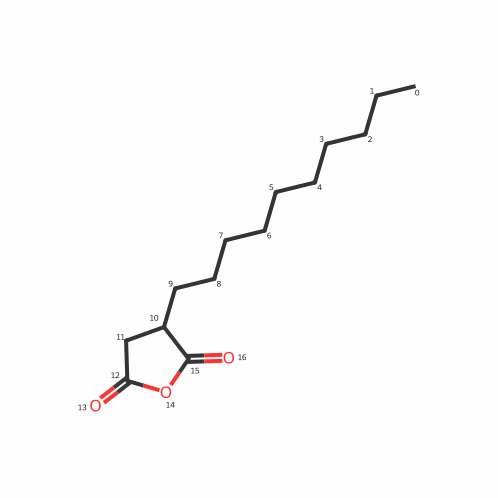 CCCCCCCCCCC1CC(=O)OC1=O